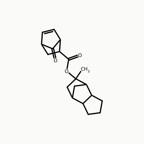 CC1(OC(=O)C2CC3C=CC2C3=O)CC2CC1C1CCCC21